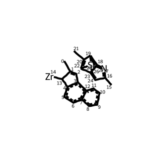 CC1=Cc2c(ccc3ccccc23)[CH]1[Zr].CC1=NC2=C3C(C)=C(C2=C1)[Si]3(C)C